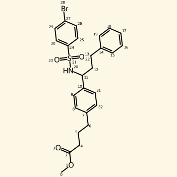 COC(=O)CCCc1ccc(C(CCc2ccccc2)NS(=O)(=O)c2ccc(Br)cc2)cc1